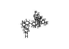 COc1ncc(-c2ccc3nccc(N4CCNC[C@@H]4C)c3c2)cc1N(OC(=O)C(F)(F)F)S(=O)(=O)c1c(F)cc(F)cc1F